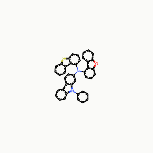 c1ccc(-n2c3ccccc3c3ccc(N(c4cccc5oc6ccccc6c45)c4cccc5sc6ccccc6c45)cc32)cc1